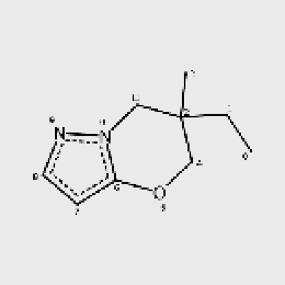 CCC1(C)COc2ccnn2C1